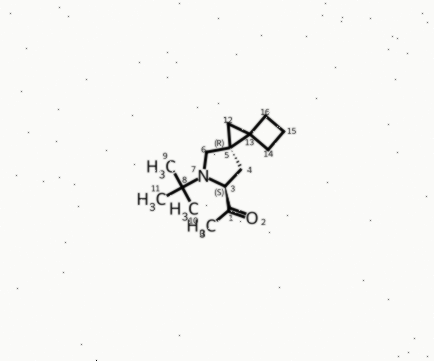 CC(=O)[C@@H]1C[C@]2(CN1C(C)(C)C)CC21CCC1